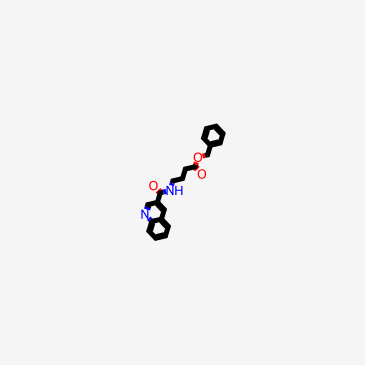 O=C(CCCNC(=O)c1cnc2ccccc2c1)OCc1ccccc1